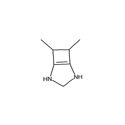 CC1C2=C(NCN2)C1C